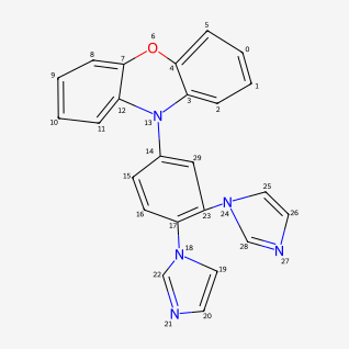 c1ccc2c(c1)Oc1ccccc1N2c1ccc(-n2ccnc2)c(-n2ccnc2)c1